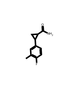 Cc1cc(C2CC2C(N)=O)ccc1F